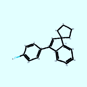 Fc1ccc(C2=CC3(CCCC3)c3ccccc32)cc1